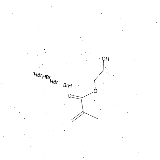 Br.Br.Br.Br.C=C(C)C(=O)OCCO